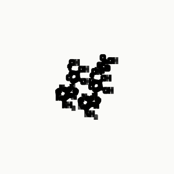 Nc1ncnc2c1ncn2[C@@H]1O[C@H](CO)[C@@H](O)[C@H]1O.Nc1ncnc2c1ncn2[C@@H]1O[C@H](CO)[C@@H](O)[C@H]1O.O=P1(O)OBO1